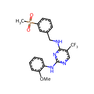 COc1ccccc1Nc1ncc(C(F)(F)F)c(NCc2cccc(S(C)(=O)=O)c2)n1